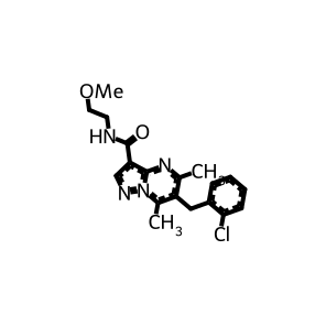 COCCNC(=O)c1cnn2c(C)c(Cc3ccccc3Cl)c(C)nc12